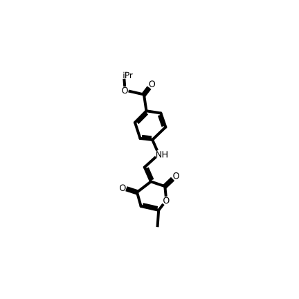 CC1=CC(=O)C(=CNc2ccc(C(=O)OC(C)C)cc2)C(=O)O1